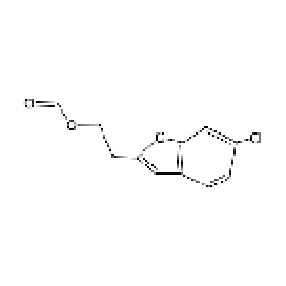 O=[C]OCCc1cc2ccc(Cl)cc2o1